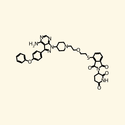 Nc1ncnc2c1c(-c1ccc(Oc3ccccc3)cc1)nn2C1CCN(CCOCCSc2cccc3c2C(=O)N(C2CCC(=O)NC2=O)C3=O)CC1